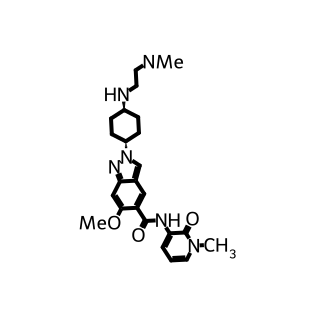 CNCCN[C@H]1CC[C@H](n2cc3cc(C(=O)Nc4cccn(C)c4=O)c(OC)cc3n2)CC1